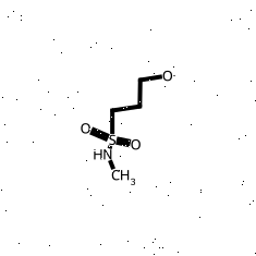 CNS(=O)(=O)CCC[O]